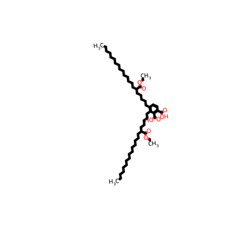 CCCCCCCCCCCCCCCC(CCCCCc1ccc(C(=O)O)c(C(=O)O)c1CCCCCC(CCCCCCCCCCCCCCC)C(=O)OCC)C(=O)OCC